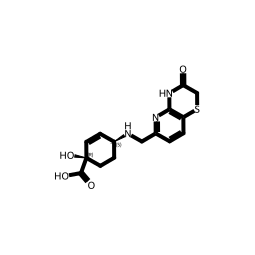 O=C1CSc2ccc(CN[C@@H]3C=C[C@@](O)(C(=O)O)CC3)nc2N1